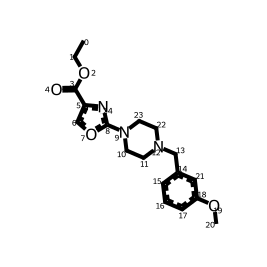 CCOC(=O)c1coc(N2CCN(Cc3cccc(OC)c3)CC2)n1